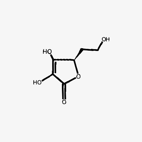 O=C1O[C@H]([CH]CO)C(O)=C1O